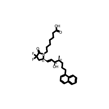 C[C@@H](CCCc1cccc2ccccc12)[C@@H](O)C=C[C@H]1CC(F)(F)C(=O)N1CCCCCCC(=O)O